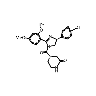 COc1ccc(C2=N[C@@H](c3ccc(Cl)cc3)CN2C(=O)N2CCNC(=O)C2)c(OC(C)C)c1